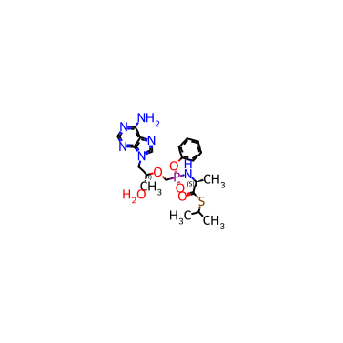 CC(C)SC(=O)[C@H](C)NP(=O)(CO[C@H](C)Cn1cnc2c(N)ncnc21)Oc1ccccc1.O